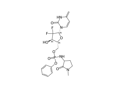 C=C1C=CN([C@@H]2O[C@H](COP(=O)(NC3CCN(C)C3=O)Oc3ccccc3)[C@@H](O)C2(F)F)C(=O)N1